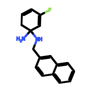 NC1(NCc2ccc3ccccc3c2)C=C(F)C=CC1